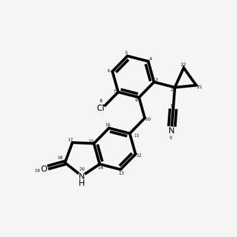 N#CC1(c2cccc(Cl)c2Cc2ccc3c(c2)CC(=O)N3)CC1